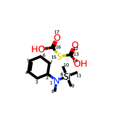 CN(C1CC=CCC1)[Si](C)(C)C.O=C(O)SC(=O)O